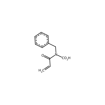 C=CC(=O)N(Cc1ccccc1)C(=O)O